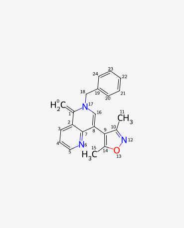 C=C1c2cccnc2C(c2c(C)noc2C)=CN1Cc1ccccc1